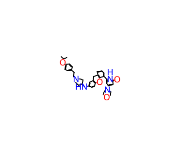 CC(C)Oc1ccc(CCN2CCC(Nc3ccc4c(c3)Cc3cccc(-c5cc(N6CCOCC6)cc(=O)[nH]5)c3O4)CC2)cc1